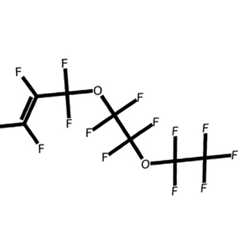 FC(F)=C(F)C(F)(F)OC(F)(F)C(F)(F)OC(F)(F)C(F)(F)F